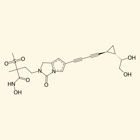 CC(CCN1Cc2cc(C#CC#C[C@H]3C[C@@H]3C(O)CO)cn2C1=O)(C(=O)NO)S(C)(=O)=O